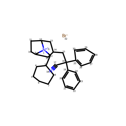 C[N+]1(CC2CCCCC2)C2CCC1CC(CC(C#N)(c1ccccc1)c1ccccc1)C2.[Br-]